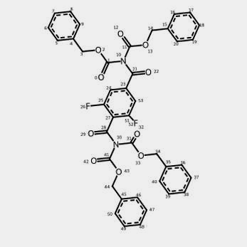 O=C(OCc1ccccc1)N(C(=O)OCc1ccccc1)C(=O)c1cc(F)c(C(=O)N(C(=O)OCc2ccccc2)C(=O)OCc2ccccc2)c(F)c1